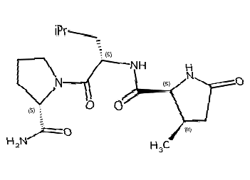 CC(C)C[C@H](NC(=O)[C@H]1NC(=O)C[C@H]1C)C(=O)N1CCC[C@H]1C(N)=O